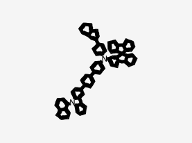 c1ccc2c(c1)-c1ccccc1C21c2ccccc2-c2ccc(N(c3ccc(-c4ccc(-c5ccc6c(c5)c5ccccc5n6-c5cccc6ccccc56)cc4)cc3)c3ccc(-c4ccc5ccccc5c4)cc3)cc21